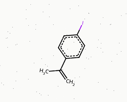 C=C(C)c1ccc(I)cc1